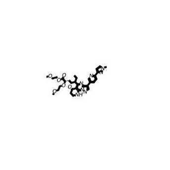 CCC(CC[C@H](OCCOC)C(=O)OCCOC)c1nc2c(-c3ccc(-c4ccn(C)n4)nc3)cnn2c2c1C(=O)CCN2